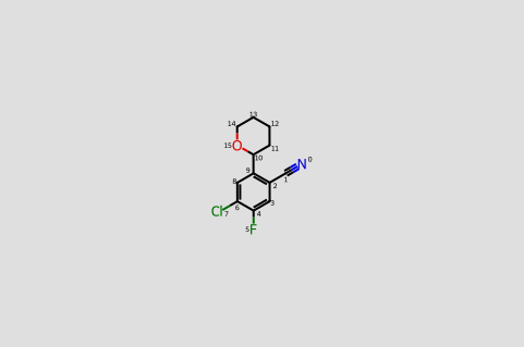 N#Cc1cc(F)c(Cl)cc1C1CCCCO1